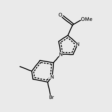 COC(=O)c1cn(-c2cc(C)cc(Br)n2)cn1